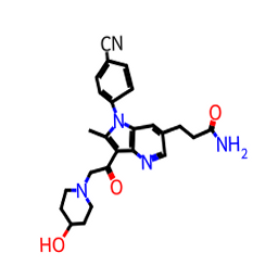 Cc1c(C(=O)CN2CCC(O)CC2)c2ncc(CCC(N)=O)cc2n1-c1ccc(C#N)cc1